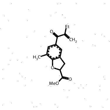 C=C(CC)C(=O)c1cc(C)c2c(c1)CC(C(=O)OC)O2